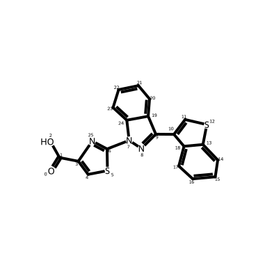 O=C(O)c1csc(-n2nc(-c3csc4ccccc34)c3ccccc32)n1